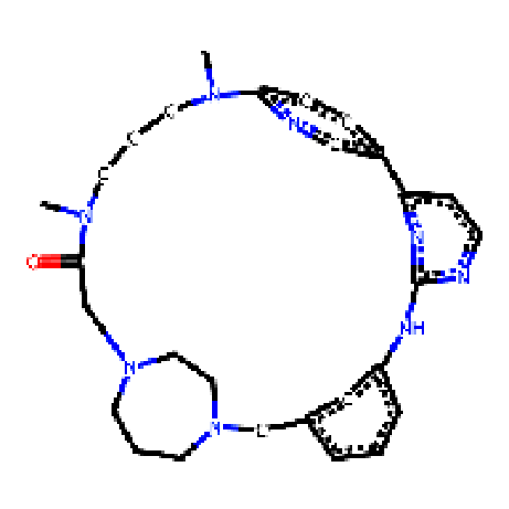 CN1CCCN(C)c2ccc(cn2)-c2ccnc(n2)Nc2cccc(c2)CN2CCCN(CC2)CC1=O